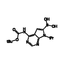 CC(C)n1c(B(O)O)cc2c(NC(=O)OC(C)(C)C)ncnc21